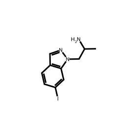 CC(N)Cn1ncc2ccc(I)cc21